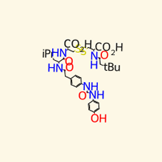 CC(C)CC(NC(=O)Cc1ccc(NC(=O)Nc2ccc(O)cc2)cc1)C(=O)NC(CSSCC(NC(=O)CC(C)(C)C)C(=O)O)C(=O)O